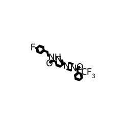 O=C(NCCc1ccc(F)cc1)c1ccc(N2CCN(C(=O)c3ccccc3C(F)(F)F)CC2)cn1